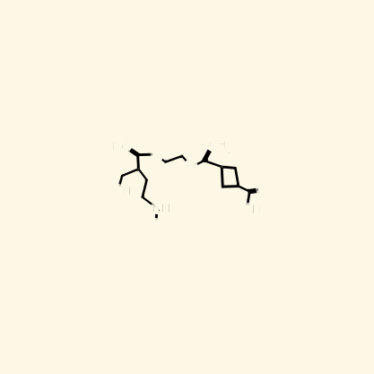 C=C(OCCOC(=C)C1CC(C(=O)O)C1)C(CC)CCNC